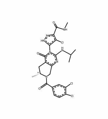 CNC(=O)c1n[nH]c(-n2c(NC(C)C)nc3c(c2=O)C[C@@H](C)N(C(=O)c2ccc(Cl)c(Cl)c2)C3)c1Cl